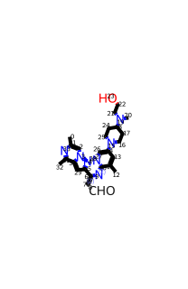 Cc1cn2nc(C(=C/C=O)/N=c3/c(C)cc(N4CCC(N(C)CCO)CC4)cn3C)cc2c(C)n1